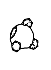 Clc1c2cccc1-c1ccc(cc1)-c1ccc(cc1)-c1cccc(c1Cl)C2